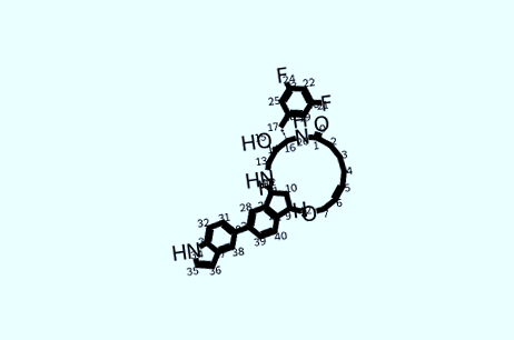 O=C1CCC/C=C\CO[C@@H]2C[C@H](NC[C@@H](O)[C@H](Cc3cc(F)cc(F)c3)N1)c1cc(-c3ccc4[nH]ccc4c3)ccc12